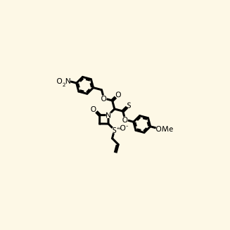 C=CC[S+]([O-])C1CC(=O)N1C(C(=O)OCc1ccc([N+](=O)[O-])cc1)C(=S)Oc1ccc(OC)cc1